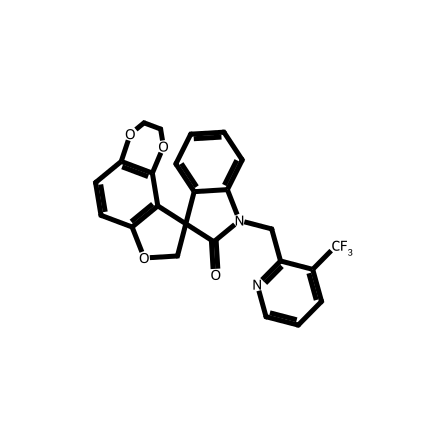 O=C1N(Cc2ncccc2C(F)(F)F)c2ccccc2C12COc1ccc3c(c12)OCCO3